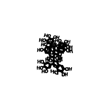 O=C(c1cc(O)c(O)c(O)c1)C(O)(C(=O)c1cc(O)c(O)c(O)c1)[C@@](O)(C(=O)c1cc(O)c(O)c(O)c1)[C@](O)(C(=O)c1cc(O)c(O)c(O)c1)[C@](O)(C(=O)c1cc(O)c(O)c(O)c1)[C@](O)(CO)C(=O)c1cc(O)c(O)c(O)c1